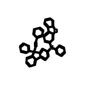 C(#CC1(c2ccccc2)c2ccccc2-c2ccc(N(c3ccccc3)c3ccc4c(c3)oc3ccccc34)cc21)c1ccccc1